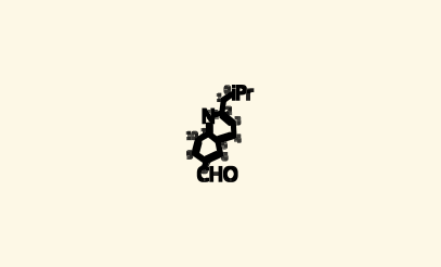 CC(C)Cc1ccc2cc(C=O)ccc2n1